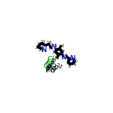 Cc1cc(N=Cc2ccccn2)c(C)cc1N=CCc1ccccn1.[Cl-].[Cl-].[Cl-].[Cl-].[Pd+2].[Pd+2]